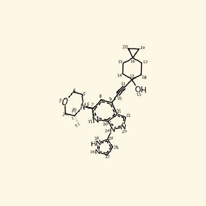 C[C@@H]1COCCN1c1cc(C#CC2(O)CCC3(CC2)CC3)c2cnn(-c3ccn[nH]3)c2n1